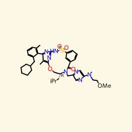 COCCN(C)c1cnc(CN2C(=O)c3cccc(c3)S(=O)(=O)Nc3nc(c(C)c(-c4c(C)cccc4CC4CCCCC4)n3)OC[C@H]2CC(C)C)cn1